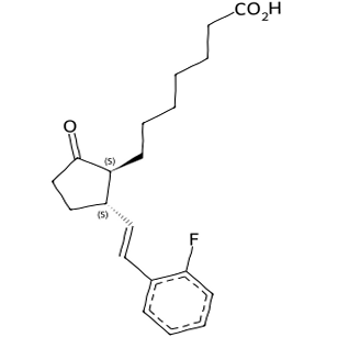 O=C(O)CCCCCC[C@@H]1C(=O)CC[C@H]1C=Cc1ccccc1F